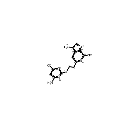 Nc1cc(Cl)nc(SCCc2cc3c(C(F)(F)F)coc3c(Cl)n2)n1